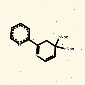 CCCCCCCCCC1(CCCCCCCCC)C=CN=C(c2ccccn2)C1